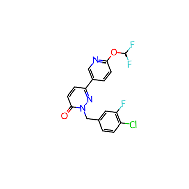 O=c1ccc(-c2ccc(OC(F)F)nc2)nn1Cc1ccc(Cl)c(F)c1